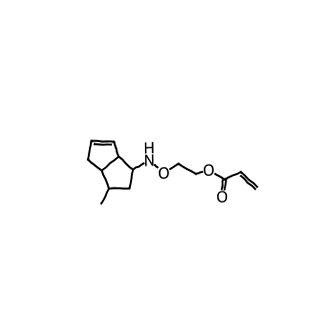 C=CC(=O)OCCONC1CC(C)C2CC=CC12